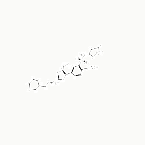 COc1ccc(-c2sc(NCCC3CCCCC3)nc2C)cc1S(=O)(=O)N[C@@H]1CCNC1